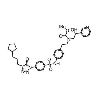 CC(C)(C)OC(=O)N(CCc1ccc(NS(=O)(=O)c2ccc(-n3nnn(CCCC4CCCC4)c3=O)cc2)cc1)C[C@H](O)c1cccnc1